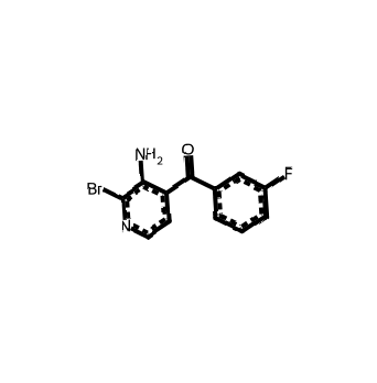 Nc1c(C(=O)c2cccc(F)c2)ccnc1Br